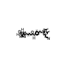 CC(C)N(C(C)C)P(OCCC#N)OCCc1ccc(NC(=O)CCCC[C@@H]2SC[C@@H]3NC(=O)N[C@@H]32)cc1